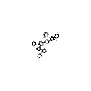 c1ccc(-n2c3cc(-c4ccc5c(c4)c4c6c7ccccc7n(-c7ccccc7)c6ccc4n5-c4ccccc4)ccc3c3cc4oc5ccccc5c4cc32)cc1